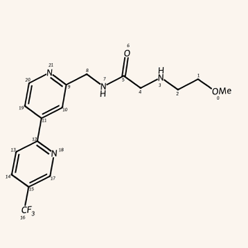 COCCNCC(=O)NCc1cc(-c2ccc(C(F)(F)F)cn2)ccn1